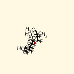 CCC(C)(C)C(F)(OC(F)(F)C(F)(F)C(F)(F)C(F)(F)S(=O)(=O)O)C(F)F